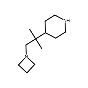 CC(C)(CN1CCC1)C1CCNCC1